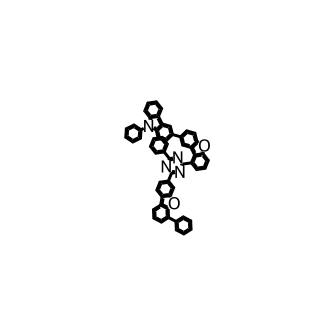 c1ccc(-c2nc(-c3ccc4c(c3)oc3c(-c5ccccc5)cccc34)nc(-c3cccc4oc5ccc(-c6ccc7c(c6)c6ccccc6n7-c6ccccc6)cc5c34)n2)cc1